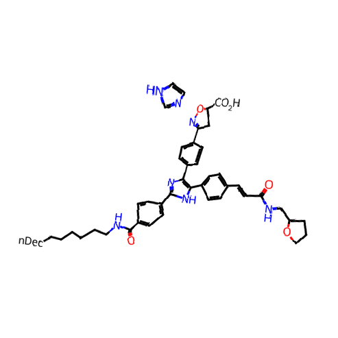 CCCCCCCCCCCCCCCCNC(=O)c1ccc(-c2nc(-c3ccc(C4=NOC(C(=O)O)C4)cc3)c(-c3ccc(C=CC(=O)NCC4CCCO4)cc3)[nH]2)cc1.c1c[nH]cn1